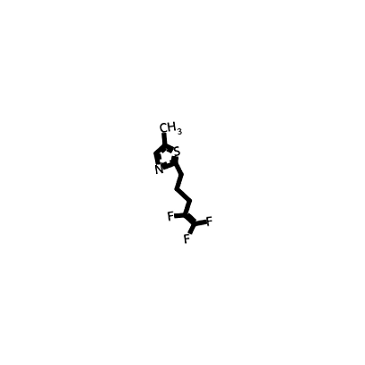 Cc1cnc(CCCC(F)=C(F)F)s1